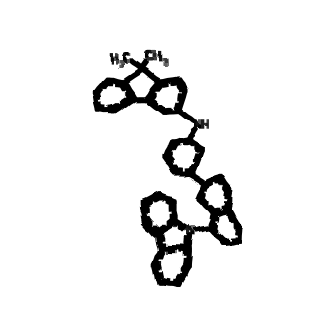 CC1(C)c2ccccc2-c2cc(Nc3cccc(-c4ccc5cccc(-n6c7ccccc7c7ccccc76)c5c4)c3)ccc21